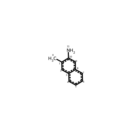 Cc1cc2ccccc2[c]c1N